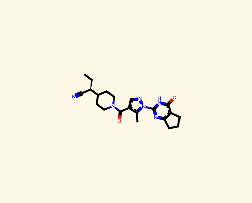 CC[C@H](C#N)C1CCN(C(=O)c2cnn(-c3nc4c(c(=O)[nH]3)CCC4)c2C)CC1